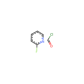 Fc1ccccn1.O=CCl